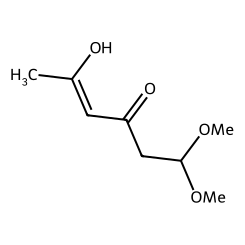 COC(CC(=O)C=C(C)O)OC